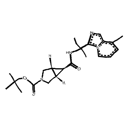 Cc1cccn2c(C(C)(C)NC(=O)[C@H]3[C@@H]4CN(C(=O)OC(C)(C)C)C[C@@H]43)ncc12